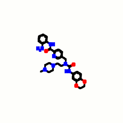 CN1CCN(CCN(Cc2ccc(C(=O)Nc3ccccc3N)nc2)C(=O)Nc2ccc3c(c2)OCCO3)CC1